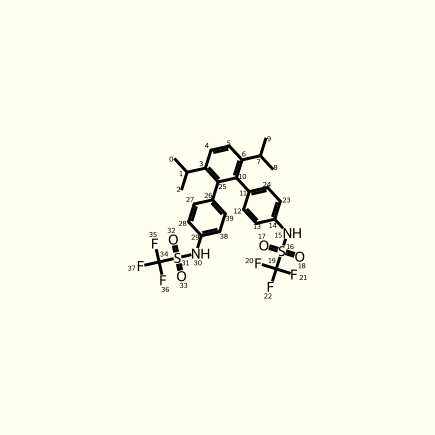 CC(C)c1ccc(C(C)C)c(-c2ccc(NS(=O)(=O)C(F)(F)F)cc2)c1-c1ccc(NS(=O)(=O)C(F)(F)F)cc1